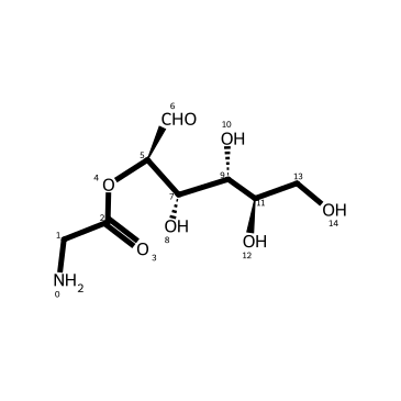 NCC(=O)O[C@@H](C=O)[C@@H](O)[C@H](O)[C@H](O)CO